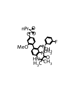 CCCS(=O)(=O)Oc1ccc(-c2ccc3c(c2CN(C)c2cccc(F)c2)N(C)C(=O)C(C)(C)N3)c(OC)c1